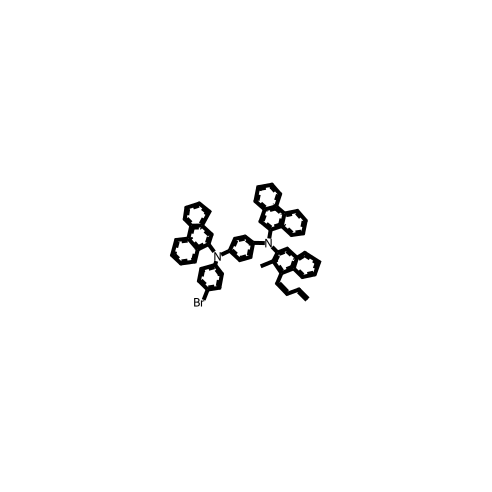 C=C/C=C\c1c(C)c(N(c2ccc(N(c3ccc(Br)cc3)c3cc4ccccc4c4ccccc34)cc2)c2cc3ccccc3c3ccccc23)cc2ccccc12